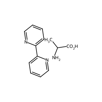 CC(N)C(=O)O.c1ccc(-c2ccccn2)nc1